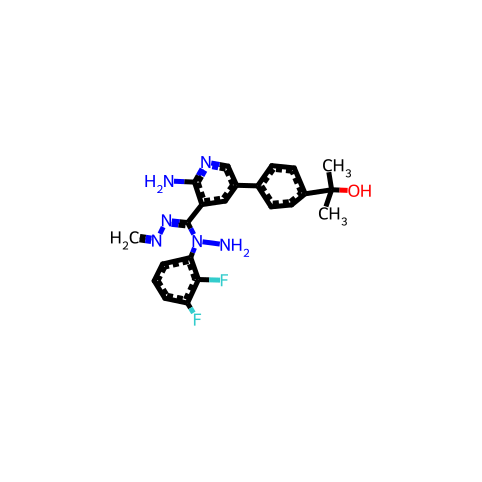 C=N/N=C(/c1cc(-c2ccc(C(C)(C)O)cc2)cnc1N)N(N)c1cccc(F)c1F